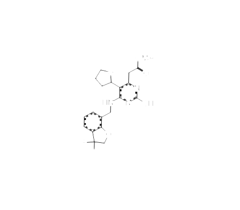 COC(=O)Cc1nc(C)nc(NCc2cccc3c2OCC3(F)F)c1C1CCCO1